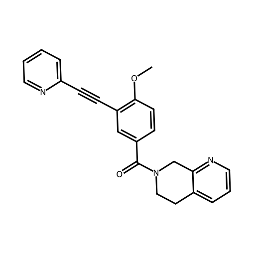 COc1ccc(C(=O)N2CCc3cccnc3C2)cc1C#Cc1ccccn1